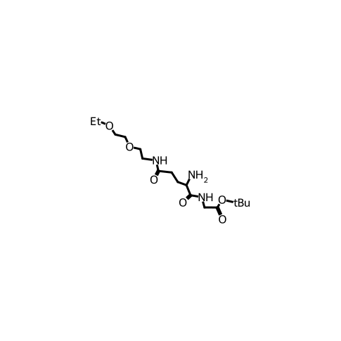 CCOCCOCCNC(=O)CCC(N)C(=O)NCC(=O)OC(C)(C)C